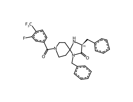 O=C(c1ccc(C(F)(F)F)c(F)c1)N1CCC2(CC1)N[C@@H](Cc1ccccc1)C(=O)N2Cc1ccccc1